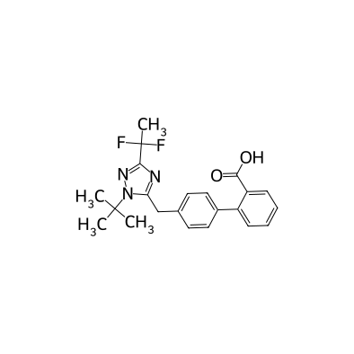 CC(F)(F)c1nc(Cc2ccc(-c3ccccc3C(=O)O)cc2)n(C(C)(C)C)n1